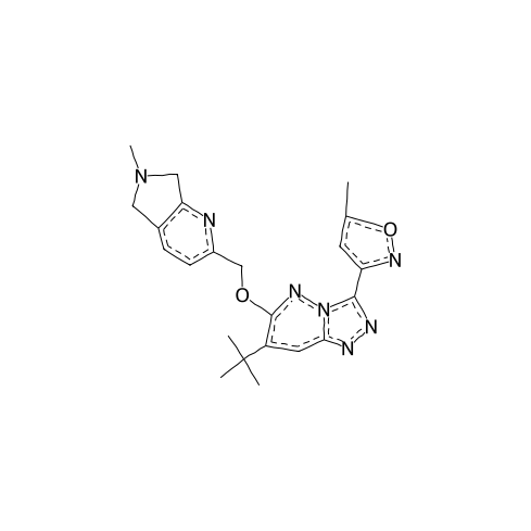 Cc1cc(-c2nnc3cc(C(C)(C)C)c(OCc4ccc5c(n4)CN(C)C5)nn23)no1